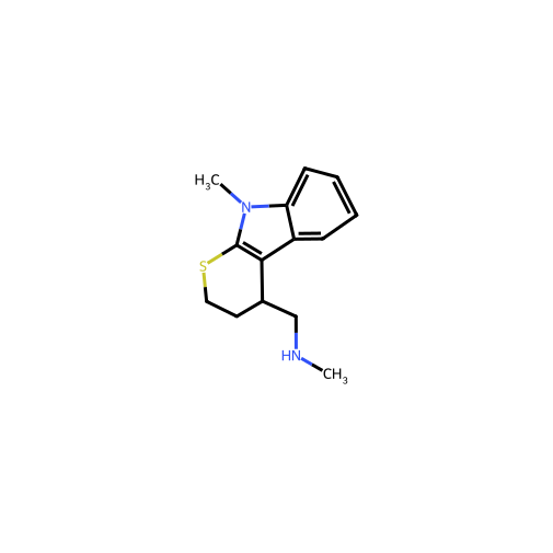 CNCC1CCSc2c1c1ccccc1n2C